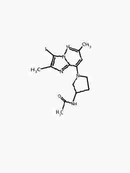 CC(=O)NC1CCN(c2cc(C)nn3c(I)c(C)nc23)C1